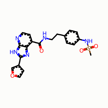 CS(=O)(=O)Nc1ccc(CCNC(=O)c2ccnc3[nH]c(-c4ccoc4)nc23)cc1